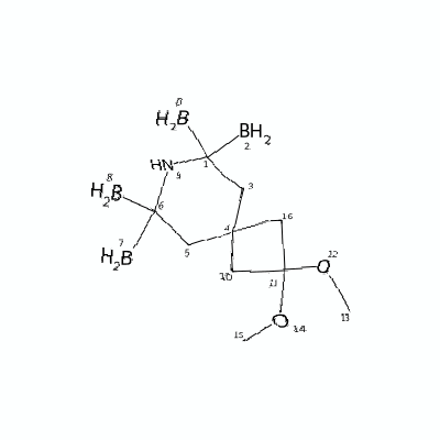 BC1(B)CC2(CC(B)(B)N1)CC(OC)(OC)C2